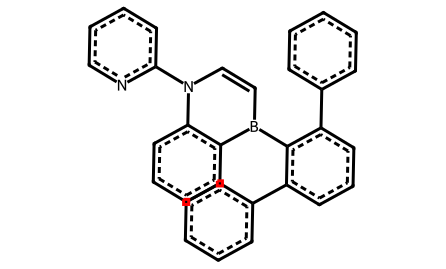 C1=CN(c2ccccn2)c2ccccc2B1c1c(-c2ccccc2)cccc1-c1ccccc1